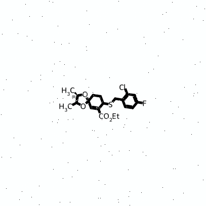 CCOC(=O)C1=CC2(CCC1SCc1ccc(F)cc1Cl)OC(C)[C@@H](C)O2